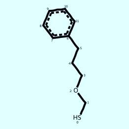 SCOCCCc1ccccc1